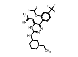 CCN1CCCC(NC2=NN=C(c3ccc(C(F)(F)F)cc3OC(F)F)/C(=C/C(C)=N)N2)C1